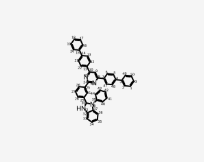 c1ccc(-c2ccc(-c3cc(-c4ccc(-c5ccccc5)cc4)nc(-c4cccc(C5Nc6ccccc6N5c5ccccc5)c4)n3)cc2)cc1